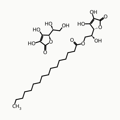 CCCCCCCCCCCCCCCC(=O)OC[C@H](O)[C@H]1OC(=O)C(O)=C1O.O=C1O[C@H]([C@@H](O)CO)C(O)=C1O